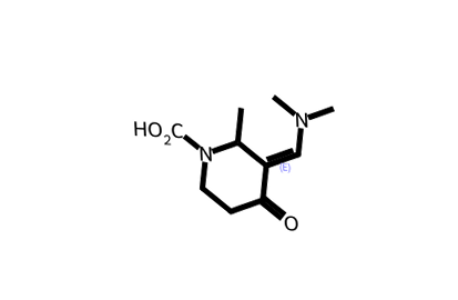 CC1/C(=C\N(C)C)C(=O)CCN1C(=O)O